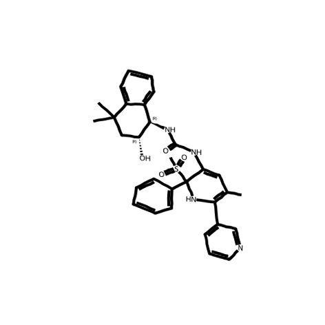 CC1=C(c2cccnc2)NC(c2ccccc2)(S(C)(=O)=O)C(NC(=O)N[C@@H]2c3ccccc3C(C)(C)C[C@H]2O)=C1